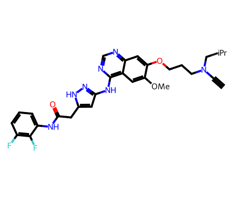 C#CN(CCCOc1cc2ncnc(Nc3cc(CC(=O)Nc4cccc(F)c4F)[nH]n3)c2cc1OC)CC(C)C